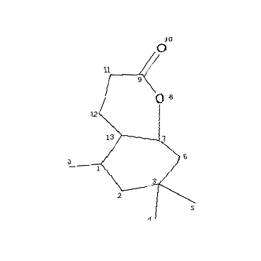 CC1CC(C)(C)CC2OC(=O)CCC12